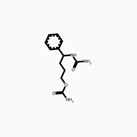 NC(=O)NC(CCCOC(N)=O)c1ccccc1